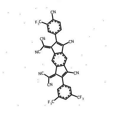 N#CC(C#N)=C1C(c2cc(C(F)(F)F)cc(C(F)(F)F)c2)=C(C#N)c2cc3c(cc21)C(=C(C#N)C#N)C(c1ccc(C#N)c(C(F)(F)F)c1)=C3C#N